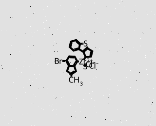 CC1=Cc2[c]([Zr+2](=[S])[CH]3C=Cc4sc5ccccc5c43)ccc(Br)c2C1.[Cl-].[Cl-]